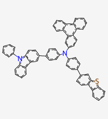 c1ccc(-n2c3ccccc3c3cc(-c4ccc(N(c5ccc(-c6ccc7c(c6)sc6ccccc67)cc5)c5ccc6c7ccccc7c7ccccc7c6c5)cc4)ccc32)cc1